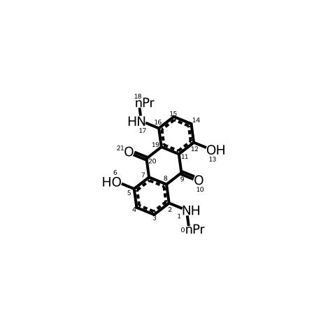 CCCNc1ccc(O)c2c1C(=O)c1c(O)ccc(NCCC)c1C2=O